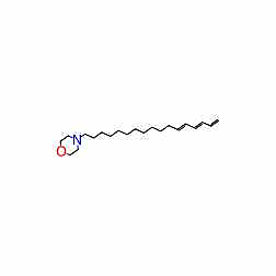 C=CC=CC=CCCCCCCCCCCCN1CCOCC1